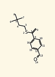 C=C(SCCC(C)(C)C)c1ccc(C=O)cc1